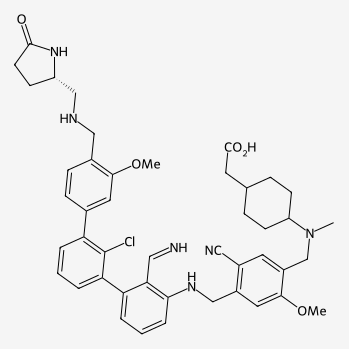 COc1cc(-c2cccc(-c3cccc(NCc4cc(OC)c(CN(C)C5CCC(CC(=O)O)CC5)cc4C#N)c3C=N)c2Cl)ccc1CNC[C@@H]1CCC(=O)N1